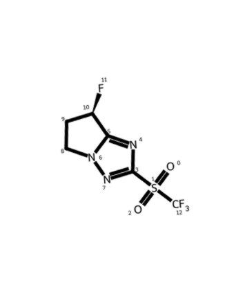 O=S(=O)(c1nc2n(n1)CC[C@H]2F)C(F)(F)F